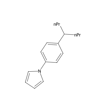 CCCC(CCC)c1ccc(-n2cccc2)cc1